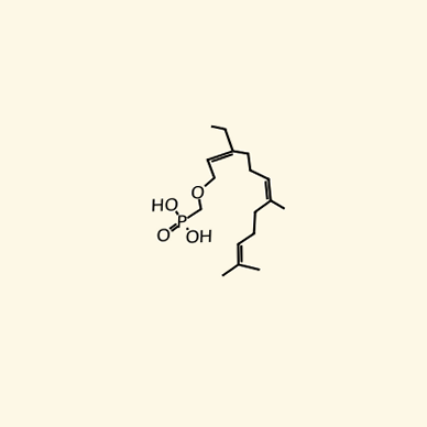 CCC(=CCOCP(=O)(O)O)CCC=C(C)CCC=C(C)C